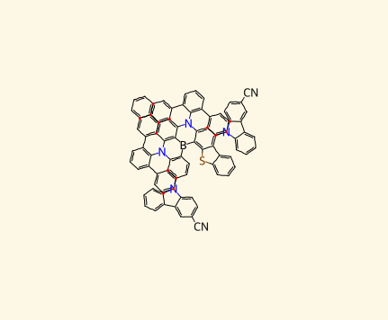 N#Cc1ccc2c(c1)c1ccccc1n2-c1ccc2c(c1)N(c1c(-c3ccccc3)cccc1-c1ccccc1)c1cc(-c3ccccc3)cc3c1B2c1c(cc(-n2c4ccccc4c4cc(C#N)ccc42)c2c1sc1ccccc12)N3c1c(-c2ccccc2)cccc1-c1ccccc1